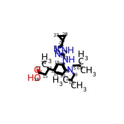 CC(C)CN(CC(C)C)c1ccc(C(C)CC(=O)O)cc1Nc1nnc(C2CC2)[nH]1